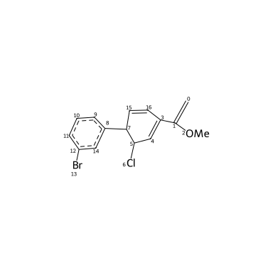 C=C(OC)C1=CC(Cl)C(c2cccc(Br)c2)C=C1